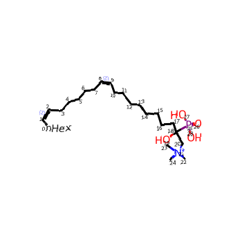 CCCCCC/C=C\CCCCC/C=C\CCCCCCCCC(O)(C[N+](C)(C)C)P(=O)(O)O